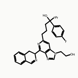 CCCC(O)(CCCc1cc2c(ncn2CCO)c(C2Cc3ccccc3C=N2)n1)c1ccc(F)cc1